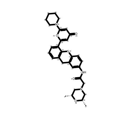 C[C@@H]1CN(CC(=O)Nc2ccc3c(c2)Cc2cccc(-c4cc(=O)cc(N5CCCCC5)o4)c2S3)C[C@H](C)O1